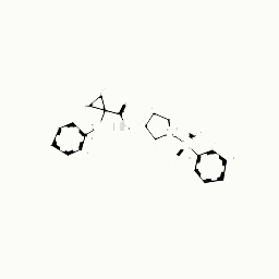 O=C(N[C@@H]1CCN(S(=O)(=O)c2ccccc2)C1)C1(Sc2ccccc2)CC1